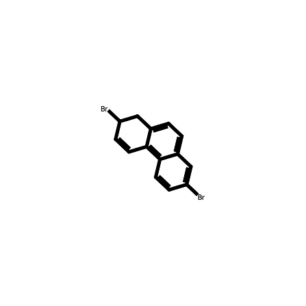 Brc1ccc2c3c(ccc2c1)CC(Br)C=C3